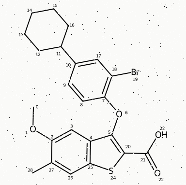 COc1cc2c(Oc3ccc(C4CCCCC4)cc3Br)c(C(=O)O)sc2cc1C